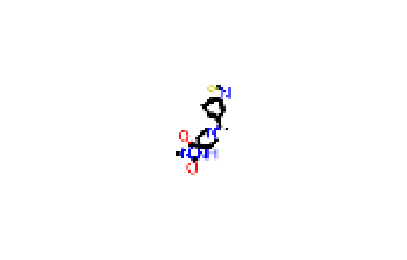 C[C@@H](c1ccc2scnc2c1)N1CCC2(CC1)NC(=O)N(C)C2=O